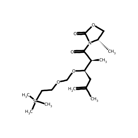 C=C(C)C[C@@H](OCOCC[Si](C)(C)C)[C@H](C)C(=O)N1C(=O)OC[C@@H]1C